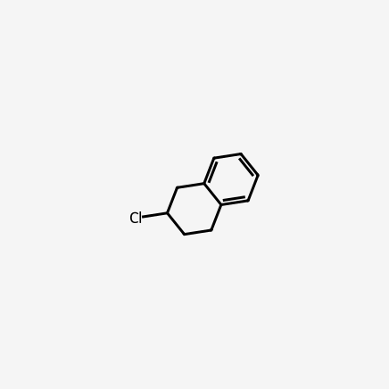 ClC1CCc2ccccc2C1